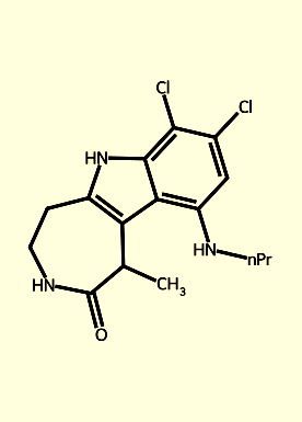 CCCNc1cc(Cl)c(Cl)c2[nH]c3c(c12)C(C)C(=O)NCC3